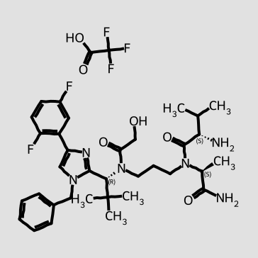 CC(C)[C@H](N)C(=O)N(CCCN(C(=O)CO)[C@@H](c1nc(-c2cc(F)ccc2F)cn1Cc1ccccc1)C(C)(C)C)[C@@H](C)C(N)=O.O=C(O)C(F)(F)F